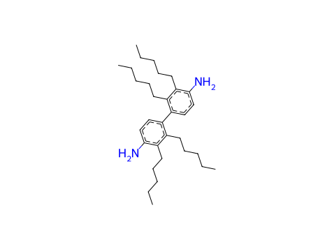 CCCCCc1c(N)ccc(-c2ccc(N)c(CCCCC)c2CCCCC)c1CCCCC